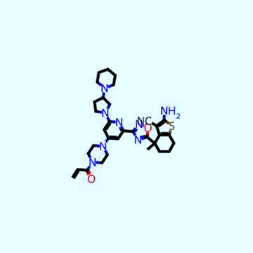 C=CC(=O)N1CCN(c2cc(-c3noc(C4(C)CCCc5sc(N)c(C#N)c54)n3)nc(N3CCC(N4CCCCC4)C3)c2)CC1